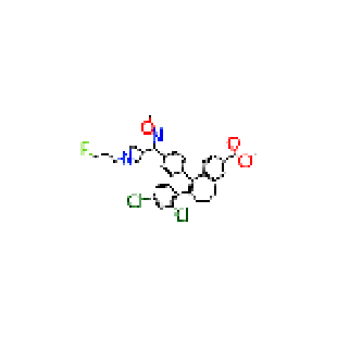 CO/N=C(/c1ccc(C2=C(c3ccc(Cl)cc3Cl)CCCc3cc(C(=O)OC)ccc32)cc1)C1CN(CCCF)C1